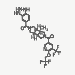 C[C@]12CN(C(=O)c3cnc(OCC(F)(F)F)c(C(F)(F)F)c3)C[C@H]1[C@@H]1CN(C(=O)c3ccc4c(c3)NNN4)C[C@@H]12